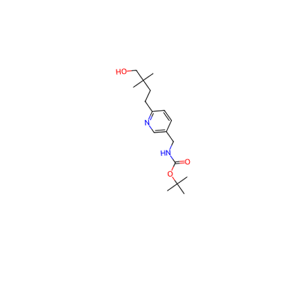 CC(C)(CO)CCc1ccc(CNC(=O)OC(C)(C)C)cn1